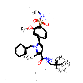 Cc1c(C(=O)NCC(C)(C)C(=O)O)cc(-c2ccc(S(=O)(=O)NC(C)(C)C)c(OC(F)(F)F)c2)n1CC1CCCCC1